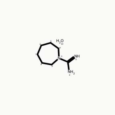 N=C(N)N1CCCCCC1.O